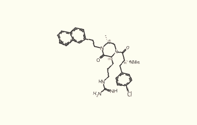 CN[C@H](Cc1ccc(Cl)cc1)C(=O)N1C[C@@H](C)N(CCc2ccc3ccccc3c2)C(=O)[C@@H]1CCCNC(=N)N